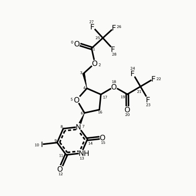 O=C(OC[C@@H]1O[C@H](n2cc(I)c(=O)[nH]c2=O)CC1OC(=O)C(F)(F)F)C(F)(F)F